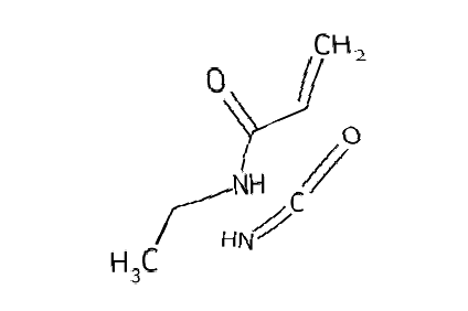 C=CC(=O)NCC.N=C=O